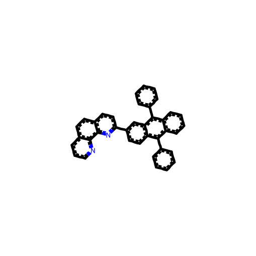 c1ccc(-c2c3ccccc3c(-c3ccccc3)c3cc(-c4ccc5ccc6cccnc6c5n4)ccc23)cc1